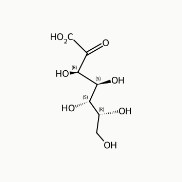 O=C(O)C(=O)[C@H](O)[C@@H](O)[C@@H](O)[C@H](O)CO